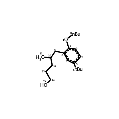 CCCCOc1ccc(C(C)(C)C)cc1CC(C)CCCO